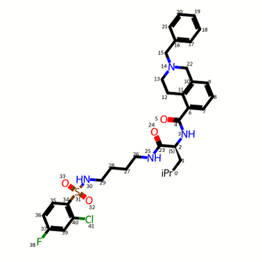 CC(C)C[C@H](NC(=O)c1cccc2c1CCN(Cc1ccccc1)C2)C(=O)NCCCCNS(=O)(=O)c1ccc(F)cc1Cl